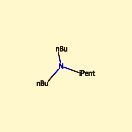 CCCCN(CCCC)C(C)CCC